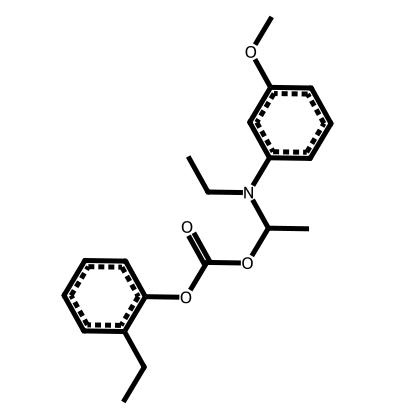 CCc1ccccc1OC(=O)OC(C)N(CC)c1cccc(OC)c1